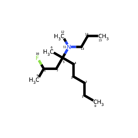 CCCCCC(C)(CC(C)F)N(C)CCC